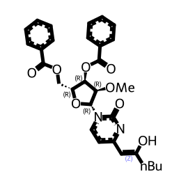 CCCC/C(O)=C/c1ccn([C@@H]2O[C@H](COC(=O)c3ccccc3)[C@@H](OC(=O)c3ccccc3)[C@H]2OC)c(=O)n1